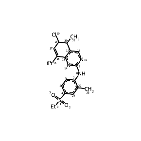 CCS(=O)(=O)c1ccc(Nc2ncc3c(n2)C(C(C)C)=CC(Cl)C3C)c(C)c1